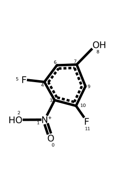 O=[N+](O)c1c(F)cc(O)cc1F